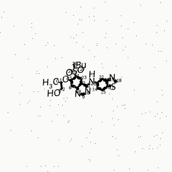 C[C@H](CO)Oc1cc2ncnc(Nc3ccc4scnc4c3)c2cc1S(=O)(=O)C(C)(C)C